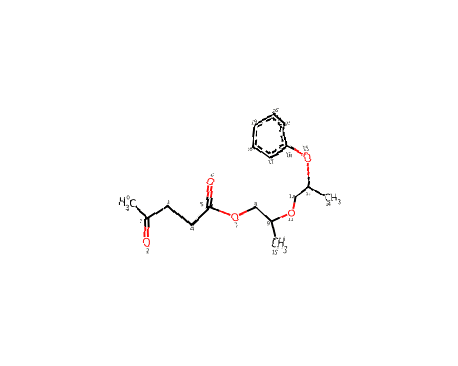 CC(=O)CCC(=O)OCC(C)OCC(C)Oc1ccccc1